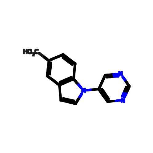 O=C(O)c1ccc2c(ccn2-c2cncnc2)c1